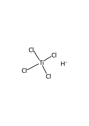 [Cl][Ti]([Cl])([Cl])[Cl].[H-]